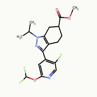 COC(=O)C1CCc2c(-c3cc(OC(F)F)ncc3F)nn(C(C)C)c2C1